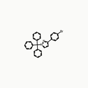 Brc1ccc(-c2ccn(C(c3ccccc3)(c3ccccc3)c3ccccc3)n2)cc1